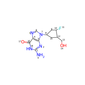 Nc1nc2c(ncn2C2CC(F)C(CO)C2)c(=O)[nH]1